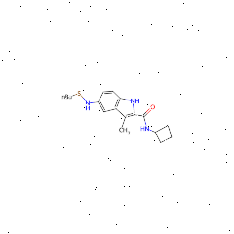 CCCCSNc1ccc2[nH]c(C(=O)NC3CCC3)c(C)c2c1